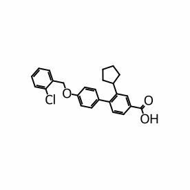 O=C(O)c1ccc(-c2ccc(OCc3ccccc3Cl)cc2)c(C2CCCC2)c1